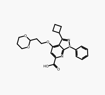 O=C(O)c1cc(OCCC2OCCCO2)c2c(C3CCC3)nn(-c3ccccc3)c2n1